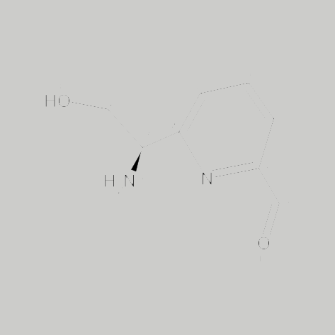 N[C@@H](CO)c1cccc(C=O)n1